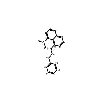 CN(C)c1cccc2cccc(NCCc3ccccc3)c12